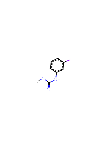 N=C(Nc1cccc(I)c1)N[N+](=O)[O-]